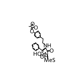 CSCN1C(=O)C(NCCc2ccc(OS(C)(=O)=O)cc2)=C(c2ccccc2)S1(O)O